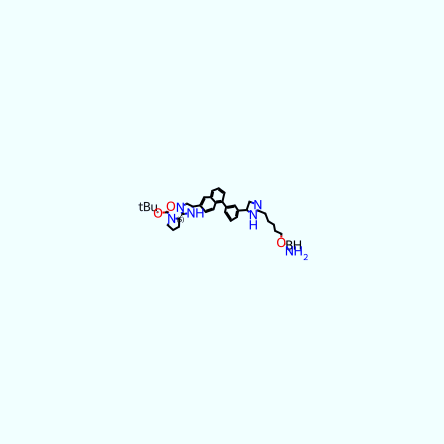 CC(C)(C)OC(=O)N1CCC[C@H]1C1=NCC(c2ccc3c(-c4cccc(C5CN=C(CCCCCOBN)N5)c4)cccc3c2)N1